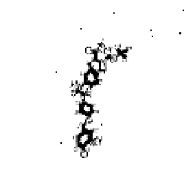 COC(=O)[C@H](Cc1ccc2c(c1)NC(=O)[C@H](c1ccc(OCc3ccc(Cl)c(Cl)c3)cc1)O2)NC(=O)OC(C)(C)C